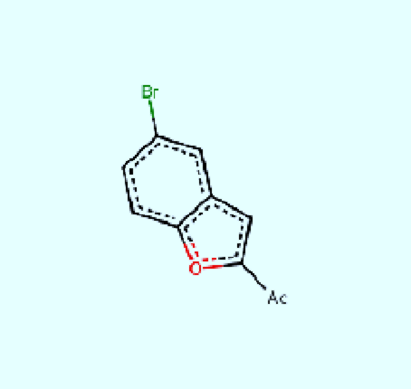 CC(=O)c1cc2cc(Br)ccc2o1